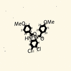 COc1ccc(C(=O)Nc2cc(Cl)c(Cl)cc2NC(=O)c2ccc(OC)cc2)cc1